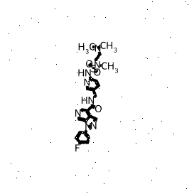 CN(C)CCN(C)S(=O)(=O)Nc1ccc(CNC(=O)c2cncc3c2cnn3-c2ccc(F)cc2)cn1